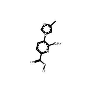 CCOC(=N)c1ccc(-n2cnc(C)c2)c(OC)n1